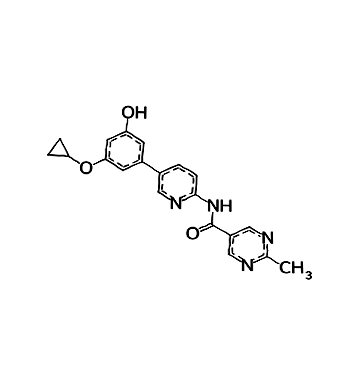 Cc1ncc(C(=O)Nc2ccc(-c3cc(O)cc(OC4CC4)c3)cn2)cn1